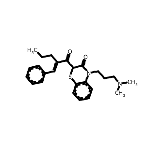 CCCC(=Cc1ccccc1)C(=O)C1Sc2ccccc2N(CCCN(C)C)C1=O